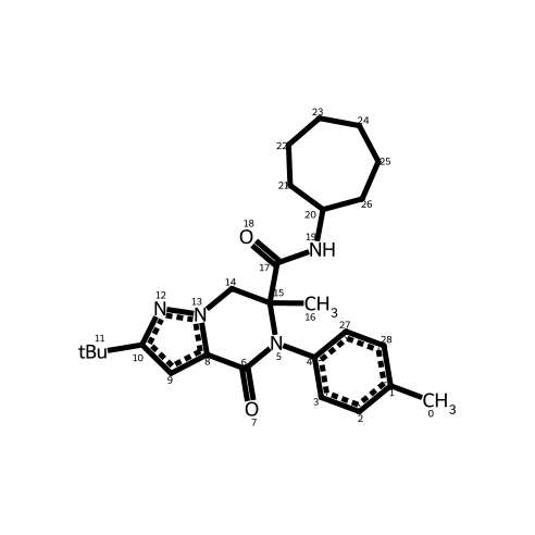 Cc1ccc(N2C(=O)c3cc(C(C)(C)C)nn3CC2(C)C(=O)NC2CCCCCC2)cc1